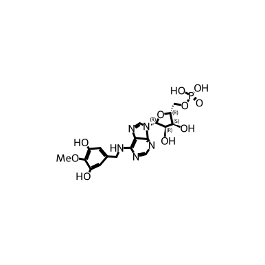 COc1c(O)cc(CNc2ncnc3c2ncn3[C@@H]2O[C@H](COP(=O)(O)O)[C@@H](O)[C@H]2O)cc1O